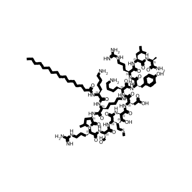 CCCCCCCCCCCCCCCC(=O)N[C@@H](CCCCN)C(=O)N[C@@H](CCCCN)C(=O)N[C@H]1CC(C)N([C@@H](CCCNC(=N)N)C(=O)N[C@@H](CO)C(=O)N[C@@H](CCSC)C(=O)N[C@H](C(=O)N[C@@H](CC(=O)O)C(=O)N[C@@H](CCCCN)C(=O)N[C@@H](Cc2ccc(O)cc2)C(=O)N[C@@H](CCCNC(=N)N)C(=O)N[C@@H](CC(C)C)C(=O)N[C@@H](C)C(N)=O)[C@@H](C)O)C1=O